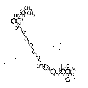 CC(=O)c1c(C)c2cnc(Nc3ccc(N4CCN(C(=O)CCOCCOCCOCCOCCOCCC(=O)Nc5ccccc5C(=O)Nc5nc(C)c(C)s5)CC4)cn3)nc2n(C2CCCC2)c1=O